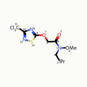 CON(CC(C)C)C(=O)COc1nc(C(Cl)(Cl)Cl)ns1